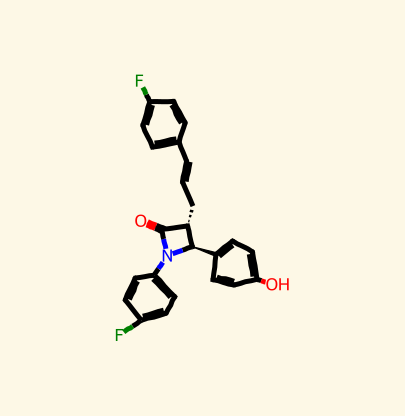 O=C1[C@H](C/C=C/c2ccc(F)cc2)[C@@H](c2ccc(O)cc2)N1c1ccc(F)cc1